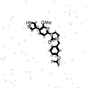 COc1nc(N2CCN(Cc3cccc(OC(F)F)c3)C2=O)ccc1-c1cn[nH]c1